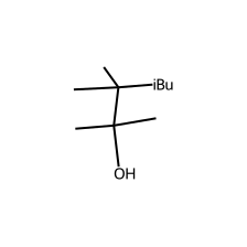 CCC(C)C(C)(C)C(C)(C)O